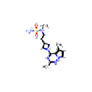 Cc1nc(N2CC(CCN(C)S(N)(=O)=O)C2)c2c(C)ccn2n1